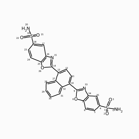 NS(=O)(=O)c1ccc2oc(-c3ccc(-c4nc5cc(S(N)(=O)=O)ccc5o4)c4ccccc34)nc2c1